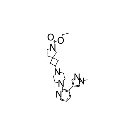 CCOC(=O)N1CCC2(CC(N3CCN(c4ncccc4-c4cnn(C)c4)CC3)C2)C1